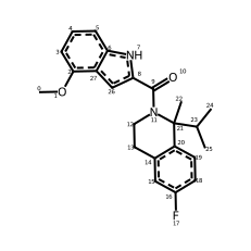 COc1cccc2[nH]c(C(=O)N3CCc4cc(F)ccc4C3(C)C(C)C)cc12